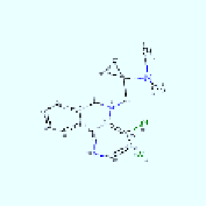 CN(C)C1(CN(Cc2ccccc2)c2cnccc2Cl)CC1.Cl